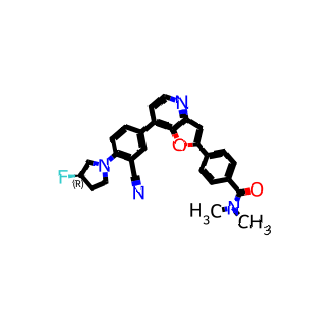 CN(C)C(=O)c1ccc(-c2cc3nccc(-c4ccc(N5CC[C@@H](F)C5)c(C#N)c4)c3o2)cc1